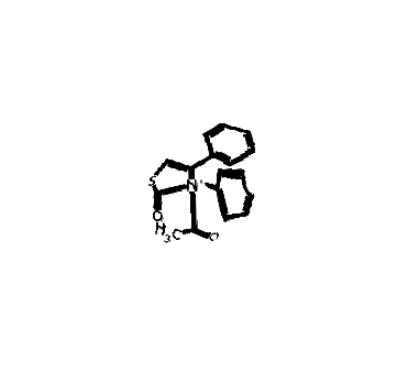 CC(=O)[N+]1(c2ccccc2)C(=O)SC=C1c1ccccc1